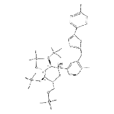 Cc1ccc([C@]2(O)OC(CO[Si](C)(C)C)[C@@H](O[Si](C)(C)C)[C@H](O[Si](C)(C)C)[C@H]2O[Si](C)(C)C)cc1Cc1ccc(-c2ccc(F)cc2)s1